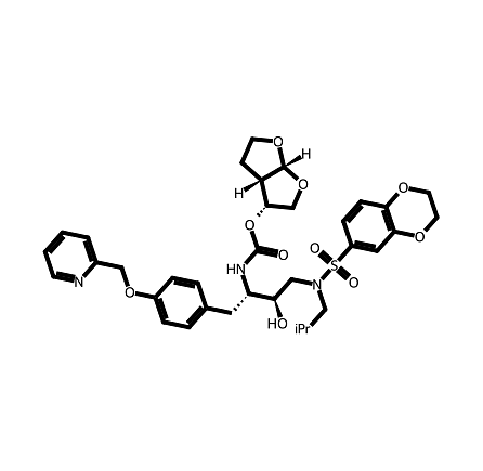 CC(C)CN(C[C@@H](O)[C@H](Cc1ccc(OCc2ccccn2)cc1)NC(=O)O[C@H]1CO[C@H]2OCC[C@H]21)S(=O)(=O)c1ccc2c(c1)OCCO2